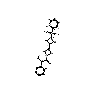 O=C(C(CF)c1ccccc1)N1CC(=C2CN(S(=O)(=O)c3ccccn3)C2)C1